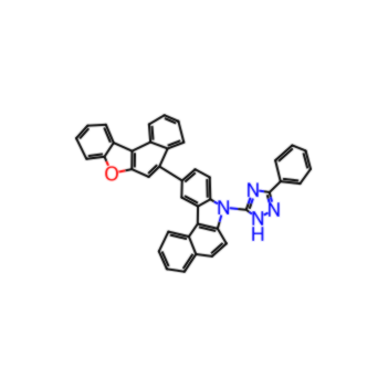 c1ccc(-c2n[nH]c(-n3c4ccc(-c5cc6oc7ccccc7c6c6ccccc56)cc4c4c5ccccc5ccc43)n2)cc1